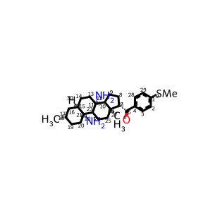 CSc1ccc(C(=O)[C@H]2CCC3[C@]4(N)CC[C@@H]5C[C@@H](C)CC[C@]5(N)C4CC[C@@]32C)cc1